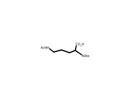 CNC(CCCNC(C)=O)C(=O)O